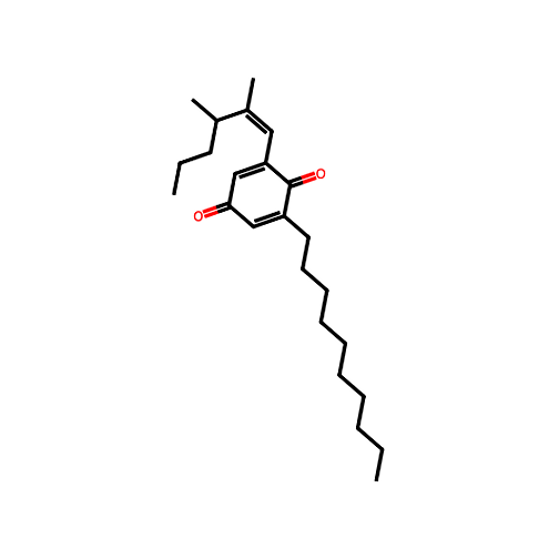 CCCCCCCCCCC1=CC(=O)C=C(C=C(C)C(C)CCC)C1=O